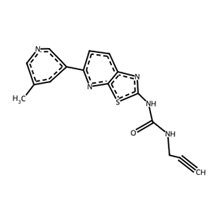 C#CCNC(=O)Nc1nc2ccc(-c3cncc(C)c3)nc2s1